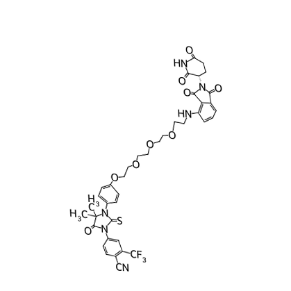 CC1(C)C(=O)N(c2ccc(C#N)c(C(F)(F)F)c2)C(=S)N1c1ccc(OCCOCCOCCOCCNc2cccc3c2C(=O)N([C@H]2CCC(=O)NC2=O)C3=O)cc1